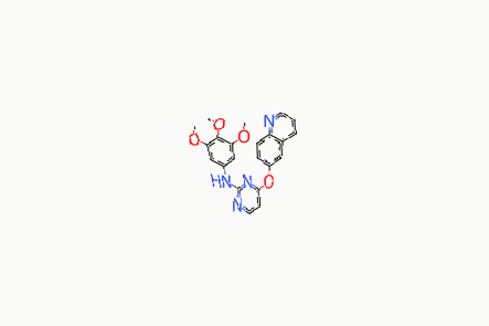 COc1cc(Nc2nccc(Oc3ccc4ncccc4c3)n2)cc(OC)c1OC